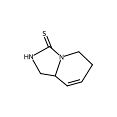 S=C1NCC2C=CCCN12